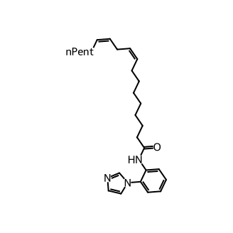 CCCCC/C=C\C/C=C\CCCCCCCC(=O)Nc1ccccc1-n1ccnc1